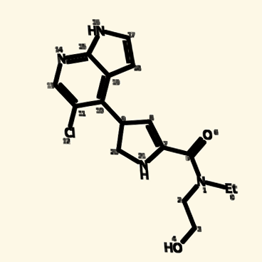 CCN(CCO)C(=O)C1=CC(c2c(Cl)cnc3[nH]ccc23)CN1